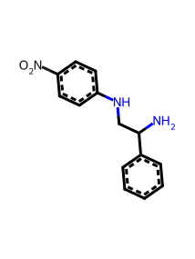 NC(CNc1ccc([N+](=O)[O-])cc1)c1ccccc1